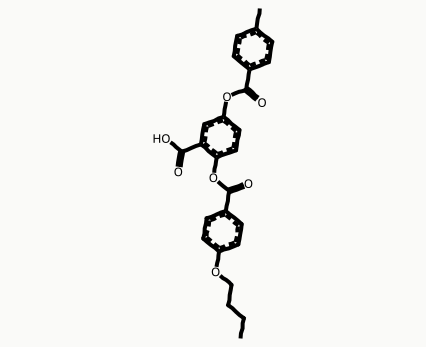 CCCCOc1ccc(C(=O)Oc2ccc(OC(=O)c3ccc(C)cc3)cc2C(=O)O)cc1